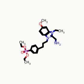 CCOP(=O)(OCC)c1ccc(CCC[n+]2c(CN)n(CC)c3cc(OC)ccc32)cc1